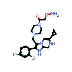 NOCC(=O)N1CCN(CC2=C(c3ccc(Cl)cc3Cl)NC3CNC(C4CC4)=CN23)CC1